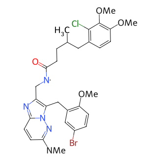 CNc1ccc2nc(C[N]C(=O)CCC(C)Cc3ccc(OC)c(OC)c3Cl)c(Cc3cc(Br)ccc3OC)n2n1